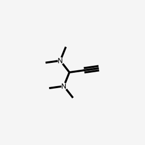 C#CC(N(C)C)N(C)C